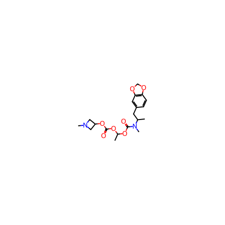 CC(OC(=O)OC1CN(C)C1)OC(=O)N(C)C(C)Cc1ccc2c(c1)OCO2